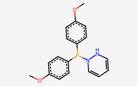 COc1ccc(P(c2ccc(OC)cc2)N2C=CC=CN2)cc1